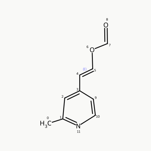 Cc1cc(/C=C/OC=O)ccn1